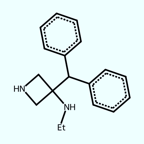 CCNC1(C(c2ccccc2)c2ccccc2)CNC1